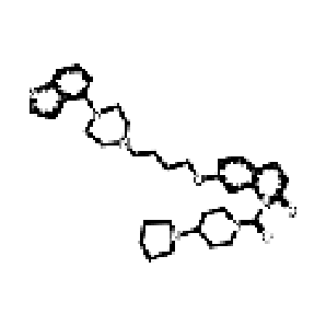 O=C(N1CCC(N2CCCCC2)CC1)n1c(=O)ccc2ccc(OCCCCN3CCN(c4cccc5sccc45)CC3)cc21